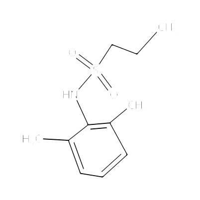 CCCS(=O)(=O)Nc1c(C)cccc1C